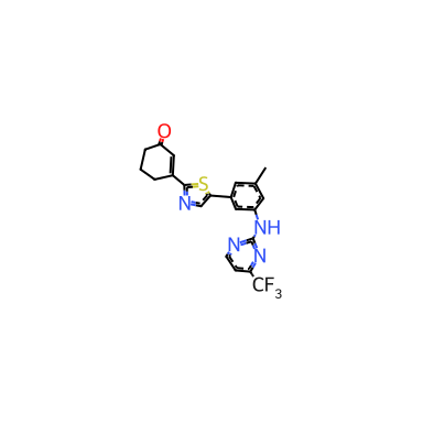 Cc1cc(Nc2nccc(C(F)(F)F)n2)cc(-c2cnc(C3=CC(=O)CCC3)s2)c1